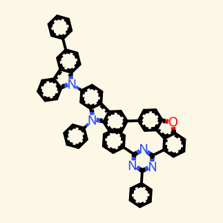 c1ccc(-c2ccc3c(c2)c2ccccc2n3-c2ccc3c4cc(-c5ccc6oc7cccc(-c8nc(-c9ccccc9)nc(-c9ccccc9)n8)c7c6c5)ccc4n(-c4ccccc4)c3c2)cc1